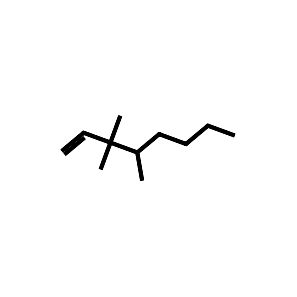 C=CC(C)(C)C(C)CCCC